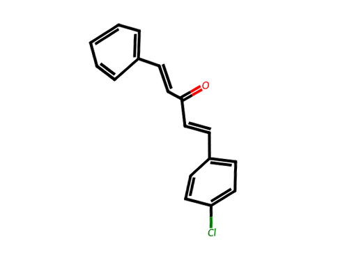 O=C(C=Cc1ccccc1)C=Cc1ccc(Cl)cc1